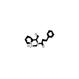 CCN(C(=O)C=Cc1ccccc1)C([C]=O)c1ccccn1